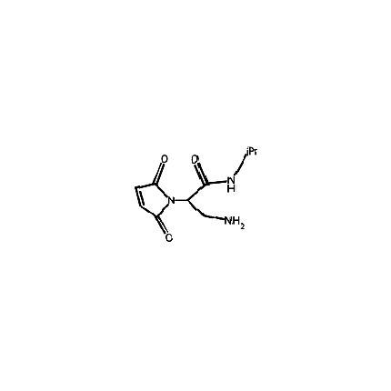 CC(C)NC(=O)C(CN)N1C(=O)C=CC1=O